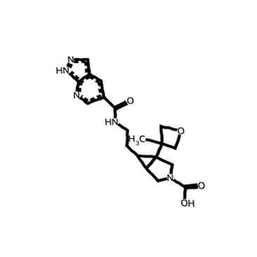 CC1(C23CN(C(=O)O)CC2C3CCNC(=O)c2cnc3[nH]ncc3c2)COC1